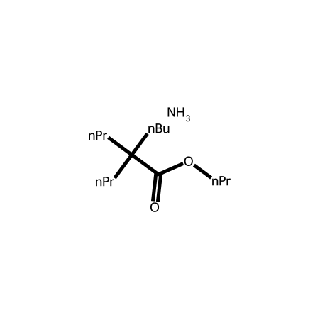 CCCCC(CCC)(CCC)C(=O)OCCC.N